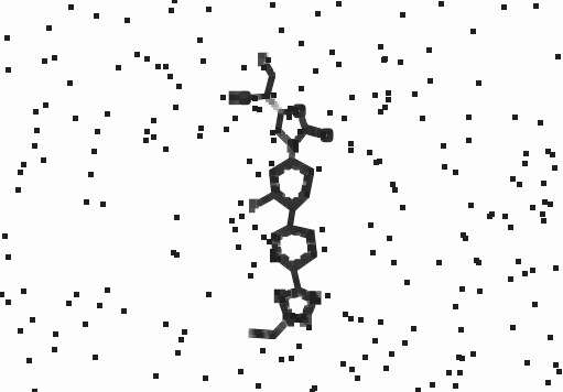 C=Cn1nnc(-c2ccc(-c3ccc(N4C[C@H](C(O)CF)OC4=O)cc3F)cn2)n1